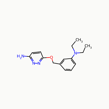 CCN(CC)c1cccc(COc2ccc(N)nn2)c1